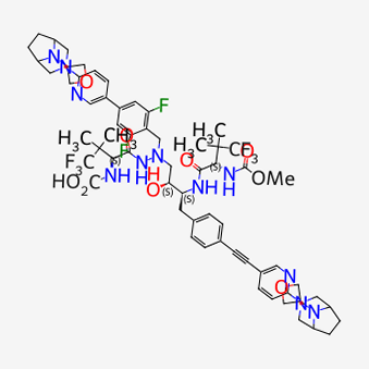 COC(=O)N[C@H](C(=O)N[C@@H](Cc1ccc(C#Cc2ccc(N3CC4CCC(C3)N4C3COC3)nc2)cc1)[C@@H](O)CN(Cc1c(F)cc(-c2ccc(N3CC4CCC(C3)N4C3COC3)nc2)cc1F)NC(=O)[C@@H](NC(=O)O)C(C)(C)C(F)(F)F)C(C)(C)C(F)(F)F